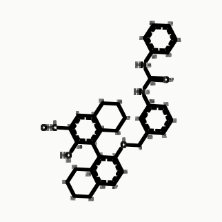 O=Cc1cc2c(c(-c3c(OCc4cccc(NC(=O)Nc5ccccc5)c4)ccc4c3CCCC4)c1O)CCCC2